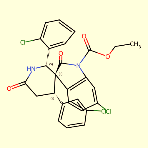 CCOC(=O)N1C(=O)[C@]2(c3ccc(Cl)cc31)[C@@H](c1ccccc1Cl)NC(=O)C[C@H]2c1cccc(Cl)c1